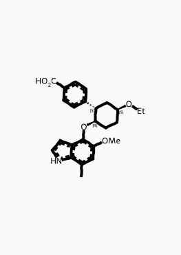 CCO[C@H]1CC[C@@H](Oc2c(OC)cc(C)c3[nH]ccc23)[C@H](c2ccc(C(=O)O)cc2)C1